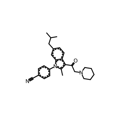 Cc1c(C(=O)CN2CCCCC2)c2ccc(CC(C)C)cc2n1-c1ccc(C#N)cc1